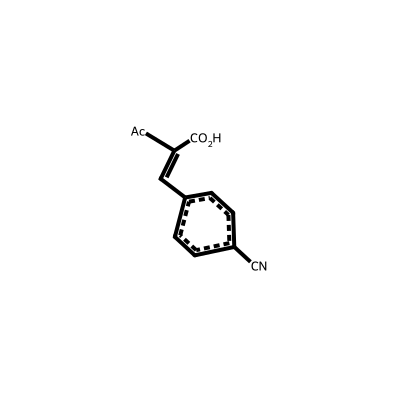 CC(=O)C(=Cc1ccc(C#N)cc1)C(=O)O